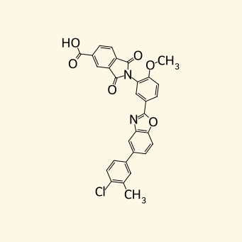 COc1ccc(-c2nc3cc(-c4ccc(Cl)c(C)c4)ccc3o2)cc1N1C(=O)c2ccc(C(=O)O)cc2C1=O